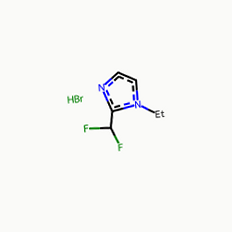 Br.CCn1ccnc1C(F)F